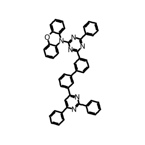 c1ccc(-c2cc(-c3cccc(-c4cccc(-c5nc(-c6ccccc6)nc(N6c7ccccc7Oc7ccccc76)n5)c4)c3)nc(-c3ccccc3)n2)cc1